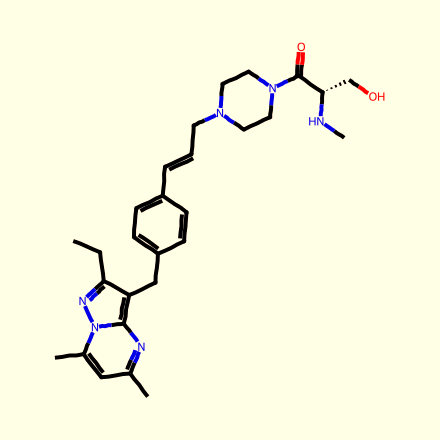 CCc1nn2c(C)cc(C)nc2c1Cc1ccc(C=CCN2CCN(C(=O)[C@H](CO)NC)CC2)cc1